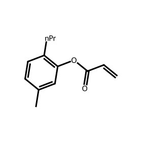 C=CC(=O)Oc1cc(C)ccc1CCC